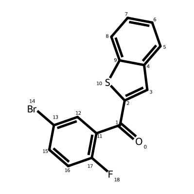 O=C(c1cc2ccccc2s1)c1cc(Br)ccc1F